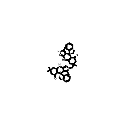 CC[C@@]1(c2ccccc2)C2=C(CC(C)(Cn3nc4c(c3C)[C@@](CC)(c3ccccc3)C3=C(CC(C)(C)CC3=O)N4)CC2=O)Nc2n[nH]c(C)c21